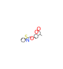 CC1CC(=O)OC2CC(OCc3nc4c(s3)C=CCC4)=CCC12